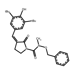 CN(OCc1ccccc1)C(=O)N1CCC(=Cc2cc(C(C)(C)C)c(O)c(C(C)(C)C)c2)C1=O